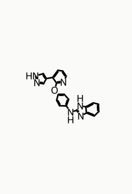 c1cnc(Oc2ccc(Nc3nc4ccccc4[nH]3)cc2)c(-c2cn[nH]c2)c1